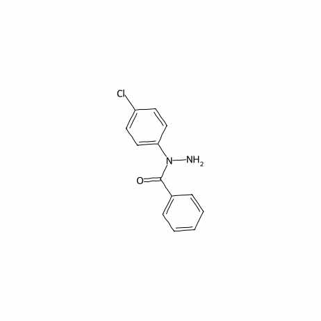 NN(C(=O)c1ccccc1)c1ccc(Cl)cc1